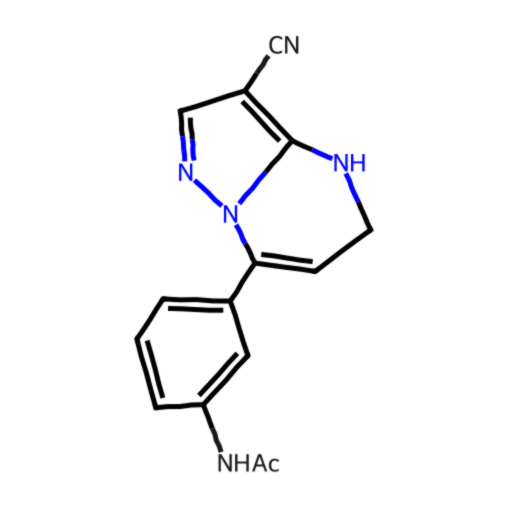 CC(=O)Nc1cccc(C2=CCNc3c(C#N)cnn32)c1